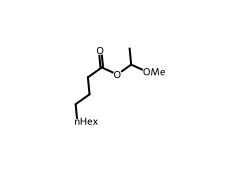 CCCCCCCCCC(=O)OC(C)OC